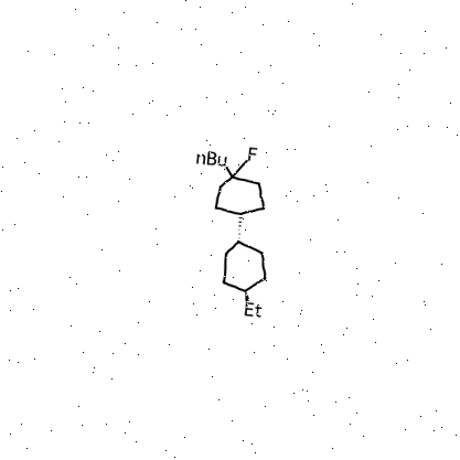 CCCCC1(F)CCC([C@H]2CC[C@H](CC)CC2)CC1